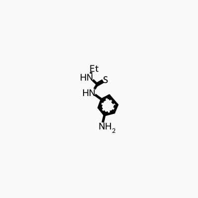 CCNC(=S)Nc1cccc(N)c1